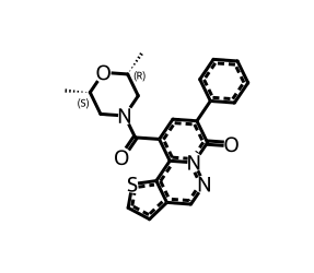 C[C@@H]1CN(C(=O)c2cc(-c3ccccc3)c(=O)n3ncc4ccsc4c23)C[C@H](C)O1